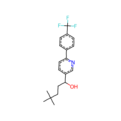 CC(C)(C)CCC(O)c1ccc(-c2ccc(C(F)(F)F)cc2)nc1